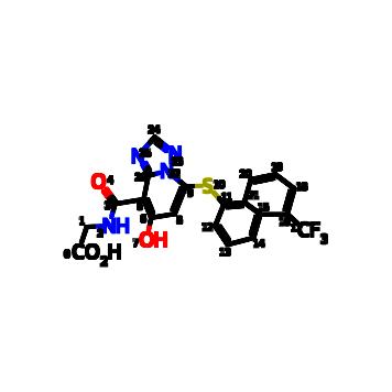 O=C(O)CNC(=O)c1c(O)cc(Sc2cccc3c(C(F)(F)F)cccc23)n2ncnc12